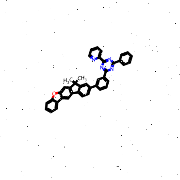 CC1(C)c2cc(-c3cccc(-c4nc(-c5ccccc5)nc(-c5ccccn5)n4)c3)ccc2-c2cc3c(cc21)oc1ccccc13